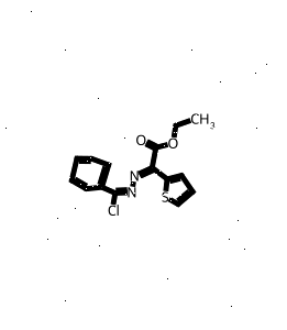 CCOC(=O)/C(=N/N=C(/Cl)c1ccccc1)c1cccs1